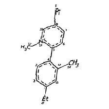 CCc1ccc(-c2ccc(C(C)C)c[n+]2C)c(C)c1